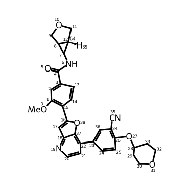 COc1cc(C(=O)NC2C3COC[C@@H]32)ccc1-c1cc2nccc(-c3ccc(OC4CCOCC4)c(C#N)c3)c2o1